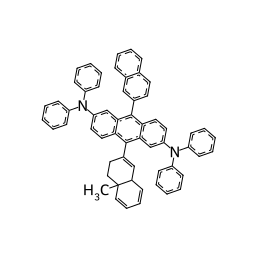 CC12C=CC=CC1C=C(c1c3cc(N(c4ccccc4)c4ccccc4)ccc3c(-c3ccc4ccccc4c3)c3cc(N(c4ccccc4)c4ccccc4)ccc13)CC2